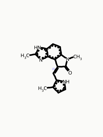 Cc1nc2c3c(ccc2[nH]1)N(C)C(=O)/C3=C\c1[nH]ccc1C